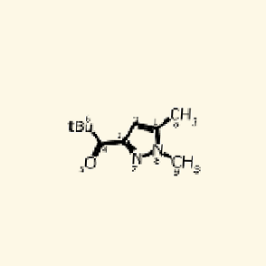 Cc1cc(C(=O)C(C)(C)C)nn1C